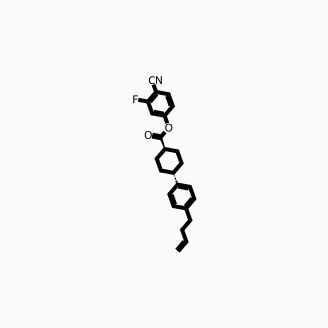 C=CCCc1ccc([C@H]2CC[C@H](C(=O)Oc3ccc(C#N)c(F)c3)CC2)cc1